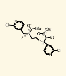 CCN([C@@H](CCCN([C@H](C)c1ccnc(Cl)c1)[S@@+]([O-])C(C)(C)C)c1ccnc(Cl)c1)[S@@+]([O-])C(C)(C)C